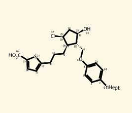 CCCCCCCc1ccc(OC[C@@H]2[C@@H](CCCc3ccc(C(=O)O)s3)[C@@H](Cl)C[C@H]2O)cc1